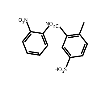 Cc1ccc(S(=O)(=O)O)cc1Cl.O=[N+]([O-])c1ccccc1[N+](=O)[O-]